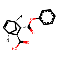 O=C(Oc1ccccc1)[C@@H]1[C@@H](C(=O)O)[C@H]2C=C[C@@H]1C2